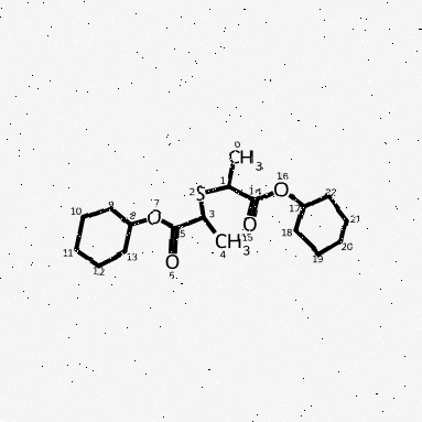 CC(SC(C)C(=O)OC1CCCCC1)C(=O)OC1CCCCC1